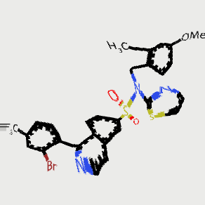 COc1ccc(CN(c2nccs2)S(=O)(=O)c2ccc3c(-c4ccc(C(F)(F)F)cc4Br)nccc3c2)c(C)c1